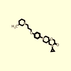 C[C@H]1CCCN(CCCOc2ccc(N3CCC4(CC3)CN(C3CC3)C(=O)CO4)cc2)C1